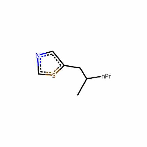 CCCC(C)Cc1cncs1